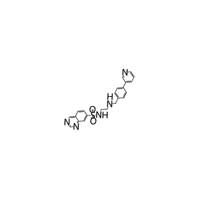 O=S(=O)(NCCNCc1ccc(-c2cccnc2)cc1)c1ccc2cncnc2c1